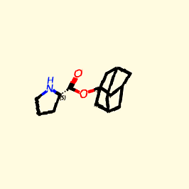 O=C(OC12CC3CC(CC(C3)C1)C2)[C@@H]1CCCN1